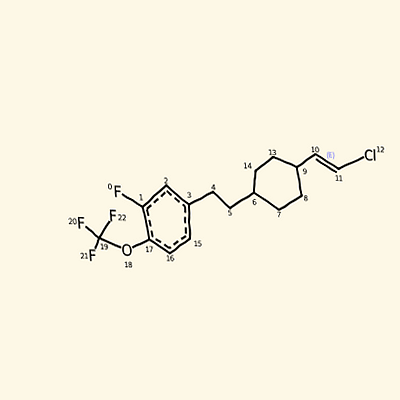 Fc1cc(CCC2CCC(/C=C/Cl)CC2)ccc1OC(F)(F)F